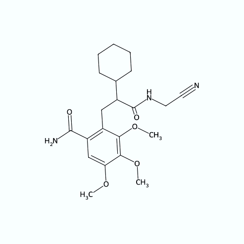 COc1cc(C(N)=O)c(CC(C(=O)NCC#N)C2CCCCC2)c(OC)c1OC